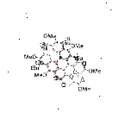 COC(=O)C(C)Oc1c(Cl)ccc(P(c2cc(C(C)(C)C)c(OC)c(C(C)(C)C)c2)c2cc(C(C)(C)C)c(OC)c(C(C)(C)C)c2)c1-c1c(P(c2cc(C(C)(C)C)c(OC)c(C(C)(C)C)c2)c2cc(C(C)(C)C)c(OC)c(C(C)(C)C)c2)ccc(Cl)c1O[C@@H](C)C(=O)OC